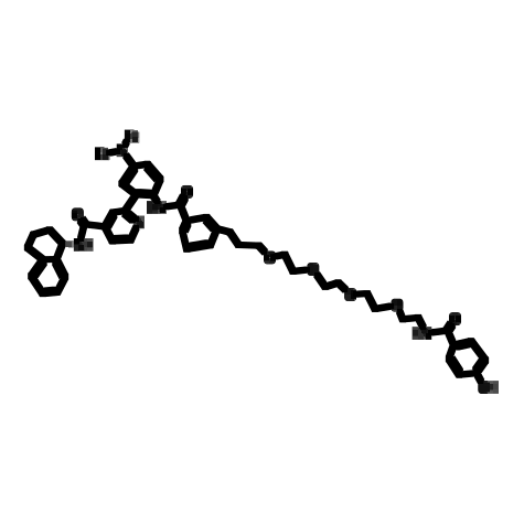 CCN(CC)c1ccc(NC(=O)c2cccc(CCCOCCOCCOCCOCCNC(=O)c3ccc(O)cc3)c2)c(-c2cc(C(=O)N[C@H]3CCCc4ccccc43)ccn2)c1